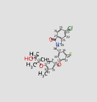 C=C(O)C(C)(C)Oc1ccc(Oc2cc(F)cc(CN3Cc4cc(Cl)ccc4C3=O)c2)cc1C